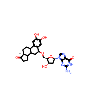 C[C@]12CCC3c4cc(O)c(O)cc4C(OC[C@H]4O[C@@H](n5cnc6c(=O)[nH]c(N)nc65)C[C@@H]4O)CC3C1CCC2=O